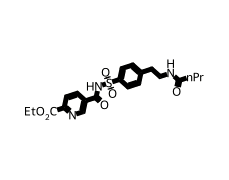 CCCC(=O)NCCc1ccc(S(=O)(=O)NC(=O)c2ccc(C(=O)OCC)nc2)cc1